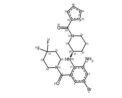 Nc1cc(Br)cc(C(=O)N2CCC(F)(F)CC2)c1N[C@@H]1CCCN(C(=O)c2cccs2)C1